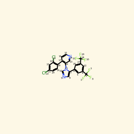 FC(F)(F)c1cc(-c2cncn2-c2cnccc2-c2ccc(Cl)cc2Cl)cc(C(F)(F)F)c1